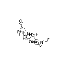 COc1nc(N[C@@H]2CCN(C3COC3)CC2(F)F)nn2cc(F)c(-c3ccc4ncn(CCF)c4c3)c12